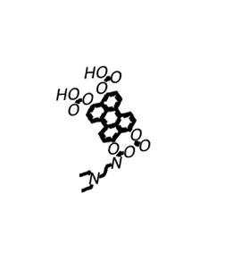 CCN(CC)CCN=C1OC(=O)Oc2ccc3c4ccc(OC(=O)O)c5c(OC(=O)O)ccc(c6ccc(c2c36)O1)c54